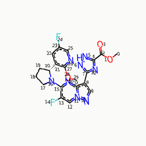 COC(=O)c1n[nH]c(-c2cnn3cc(F)c(N4CCC[C@@H]4c4cc(F)cnc4OC)nc23)n1